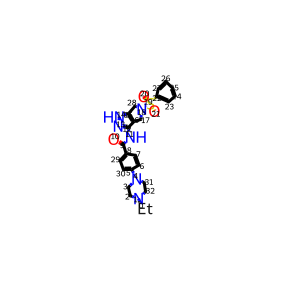 CCN1CCN(c2ccc(C(=O)Nc3n[nH]c4c3CN(S(=O)(=O)c3ccccc3)C4)cc2)CC1